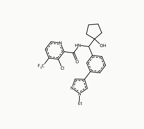 CCn1cc(-c2cccc(C(NC(=O)c3nccc(C(F)(F)F)c3Cl)C3(O)CCCC3)c2)cn1